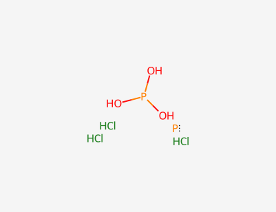 Cl.Cl.Cl.OP(O)O.[P]